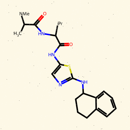 CNC(C)C(=O)NC(C(=O)Nc1cnc(NC2CCCc3ccccc32)s1)C(C)C